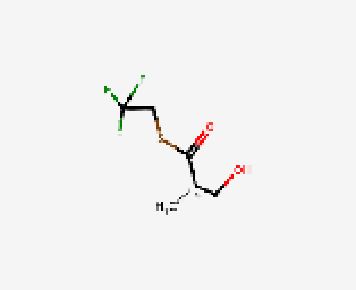 C[C@@H](CO)C(=O)SCC(F)(F)F